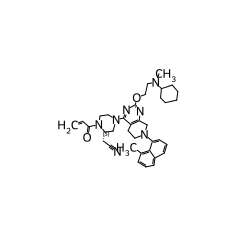 C=CC(=O)N1CCN(c2nc(OCCN(C)C3CCCCC3)nc3c2CCN(c2cccc4cccc(C)c24)C3)C[C@@H]1CC#N